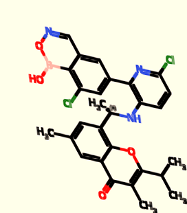 Cc1cc([C@@H](C)Nc2ccc(Cl)nc2-c2cc(Cl)c3c(c2)C=NOB3O)c2oc(C(C)C)c(C)c(=O)c2c1